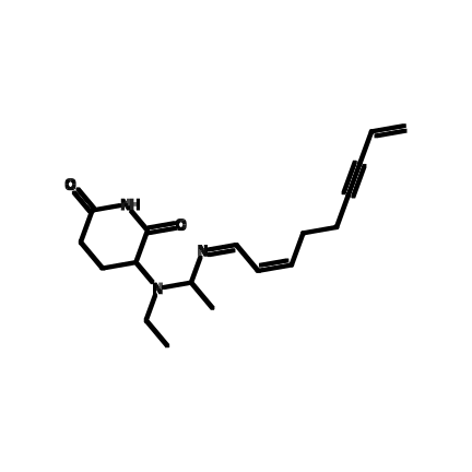 C=CC#CCC/C=C\C=N/C(C)N(CC)C1CCC(=O)NC1=O